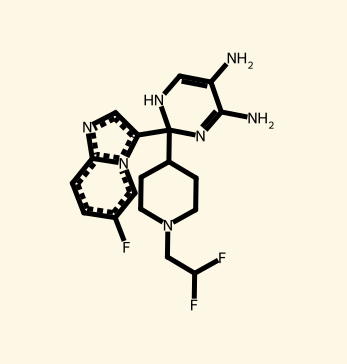 NC1=CNC(c2cnc3ccc(F)cn23)(C2CCN(CC(F)F)CC2)N=C1N